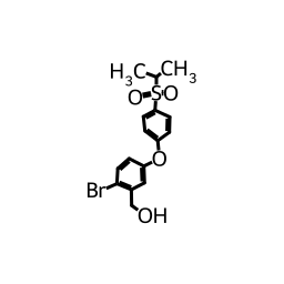 CC(C)S(=O)(=O)c1ccc(Oc2ccc(Br)c(CO)c2)cc1